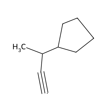 [C]#CC(C)C1CCCC1